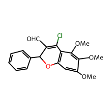 COc1cc2c(c(OC)c1OC)C(Cl)=C(C=O)C(c1ccccc1)O2